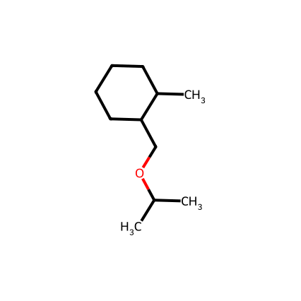 CC(C)OCC1CCCCC1C